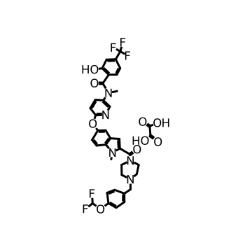 CN(C(=O)c1ccc(C(F)(F)F)cc1O)c1ccc(Oc2ccc3c(c2)cc(C(=O)N2CCN(Cc4ccc(OC(F)F)cc4)CC2)n3C)nc1.O=C(O)C(=O)O